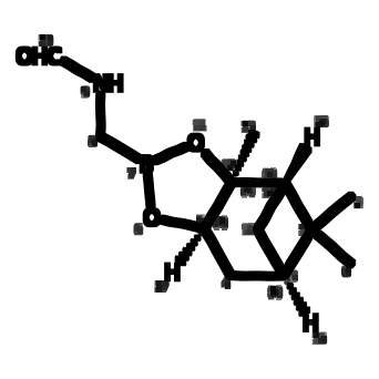 CC1(C)[C@H]2C[C@H]3OB(CNC=O)O[C@@]3(C)[C@H]1C2